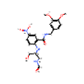 COc1ccc(CNC(=O)c2cc([N+](=O)[O-])ccc2N[C@H](CO)CNC=O)cc1OC